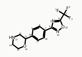 FC(F)(F)c1nc(-c2ccc(C3CNCCO3)cc2)no1